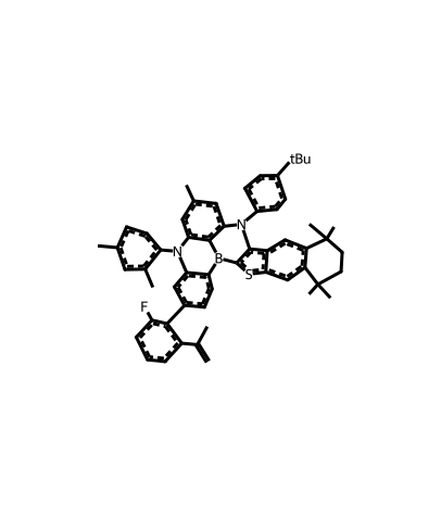 C=C(C)c1cccc(F)c1-c1ccc2c(c1)N(c1ccc(C)cc1C)c1cc(C)cc3c1B2c1sc2cc4c(cc2c1N3c1ccc(C(C)(C)C)cc1)C(C)(C)CCC4(C)C